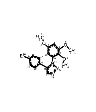 COc1cc(OC)c(OC)c(-n2nncc2-c2ccc(Br)cc2)c1